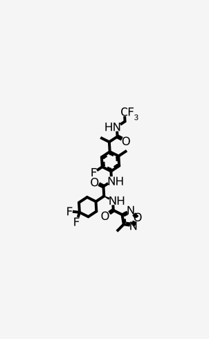 Cc1cc(NC(=O)[C@@H](NC(=O)c2nonc2C)C2CCC(F)(F)CC2)c(F)cc1C(C)C(=O)NCC(F)(F)F